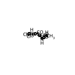 CS(=O)(=O)Nc1ccc2[nH]cc(C3CCN(C(C(=O)O)C4CCN(C(=O)Nc5ccc(Cl)c(Cl)c5)CC4)CC3)c2c1